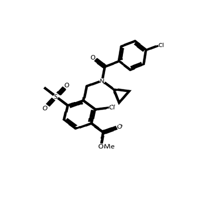 COC(=O)c1ccc(S(C)(=O)=O)c(CN(C(=O)c2ccc(Cl)cc2)C2CC2)c1Cl